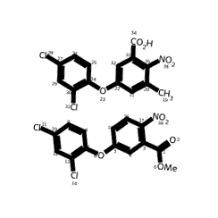 COC(=O)c1cc(Oc2ccc(Cl)cc2Cl)ccc1[N+](=O)[O-].Cc1cc(Oc2ccc(Cl)cc2Cl)cc(C(=O)O)c1[N+](=O)[O-]